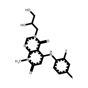 Cn1c(=O)cc(Nc2ccc(I)cc2F)c2c(=O)n(CC(O)CO)cnc21